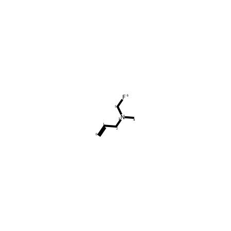 C=CCN(C)CF